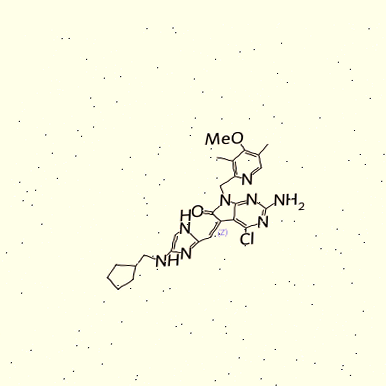 COc1c(C)cnc(CN2C(=O)/C(=C\c3nc(NCC4CCCC4)c[nH]3)c3c(Cl)nc(N)nc32)c1C